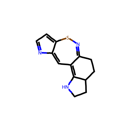 C1=NC2=CC3=C4NCCC4CCC3=NSC2=C1